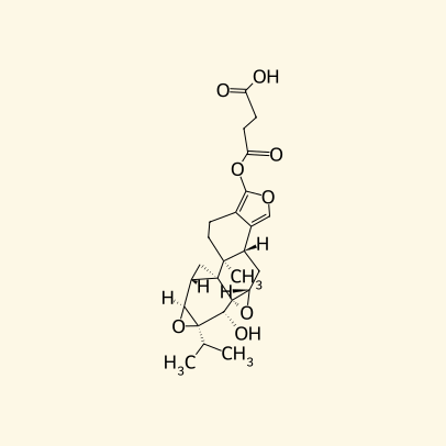 CC(C)[C@]12O[C@H]1[C@@H]1C[C@]13[C@]1(O[C@H]1C[C@H]1c4coc(OC(=O)CCC(=O)O)c4CC[C@@]13C)[C@@H]2O